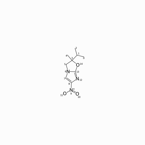 CC(C)C1(C)Cn2cc([N+](=O)[O-])nc2O1